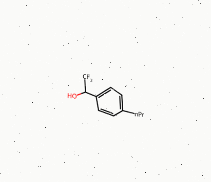 CCCc1ccc(C(O)C(F)(F)F)cc1